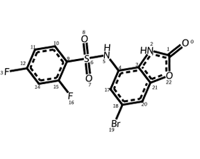 O=c1[nH]c2c(NS(=O)(=O)c3ccc(F)cc3F)cc(Br)cc2o1